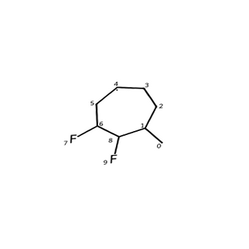 CC1CC[CH]CC(F)C1F